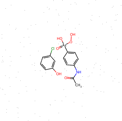 CC(=O)Nc1ccc([As](=O)(O)OO)cc1.Oc1cccc(Cl)c1